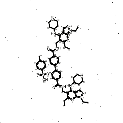 CCc1nc2c(cnn2CC)c(NC2CCOCC2)c1CNC(=O)c1ccc(-c2ccc(C(=O)NCc3c(CC)nc4c(cnn4CC)c3NC3CCOCC3)cc2)cc1.Cc1ccc(S(=O)(=O)O)cc1